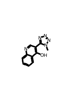 Cn1nnnc1-c1cnc2ccccc2c1O